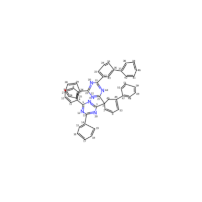 C1=CC(c2nc(-c3ccccc3)nc(-c3ccccc3)n2)(c2nc(-c3ccccc3)nc(-c3cccc(-c4ccccc4)c3)n2)CC(c2ccccc2)=C1